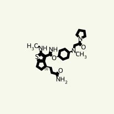 CNc1sc2c(c1C(=N)O[C@H]1CC[C@H](N(C)CC(=O)N3CCCC3)CC1)[C@@H](CCC(N)=O)CC2